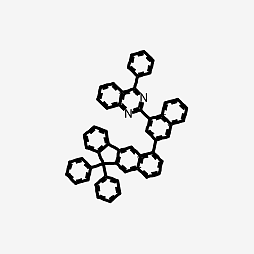 c1ccc(-c2nc(-c3cc(-c4cccc5cc6c(cc45)-c4ccccc4C6(c4ccccc4)c4ccccc4)cc4ccccc34)nc3ccccc23)cc1